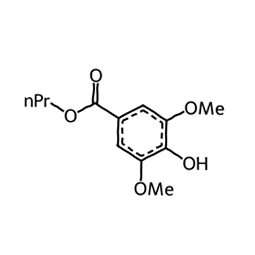 CCCOC(=O)c1cc(OC)c(O)c(OC)c1